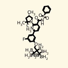 BC(B)(B)C(B)(COc1cc(F)cc(-c2ccc(C(=O)NS(=O)(=O)c3ccccc3)c(N3C[C@@H](C)CC3(C)C)n2)c1)C(B)(B)B